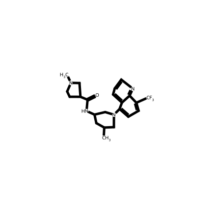 CC1CC(NC(=O)C2CCN(C)C2)CN(c2ccc(C(F)(F)F)c3ncccc23)C1